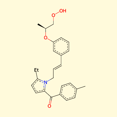 CCc1ccc(C(=O)c2ccc(C)cc2)n1C/C=C/c1cccc(O[C@@H](C)COO)c1